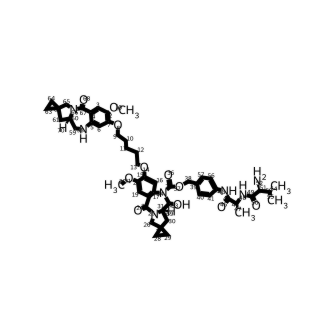 COc1cc2c(cc1OCCCCCOc1cc3c(cc1OC)C(=O)N1CC4(CC4)C[C@H]1C(O)N3C(=O)OCc1ccc(NC(=O)[C@H](C)NC(=O)[C@@H](N)C(C)C)cc1)NC[C@@H]1CC3(CC3)CN1C2=O